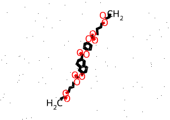 C=CC(=O)OCCCCOC(=O)Oc1ccc(OC(=O)c2ccc3cc(OC(=O)OCCCCOC(=O)C=C)ccc3c2)cc1